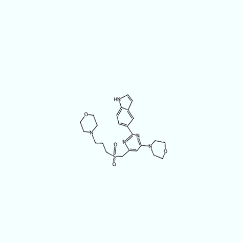 O=S(=O)(CCCN1CCOCC1)Cc1cc(N2CCOCC2)nc(-c2ccc3[nH]ccc3c2)n1